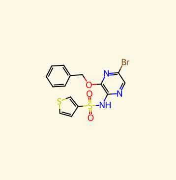 O=S(=O)(Nc1ncc(Br)nc1OCc1ccccc1)c1ccsc1